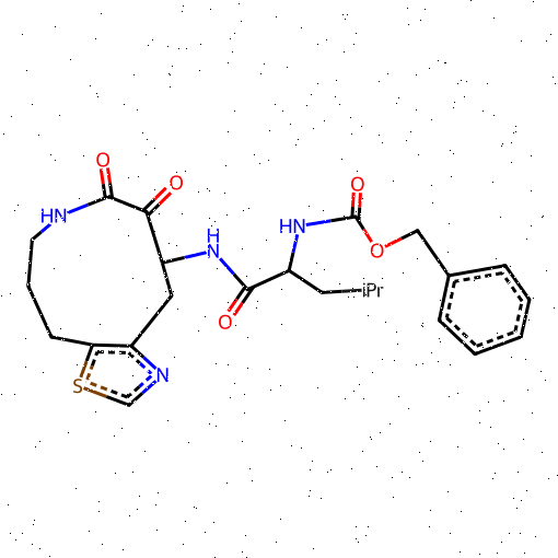 CC(C)CC(NC(=O)OCc1ccccc1)C(=O)NC1Cc2ncsc2CCCNC(=O)C1=O